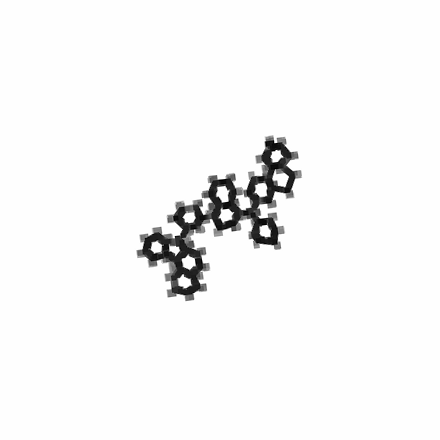 c1ccc(N(c2ccc3c(c2)CCc2ccncc2-3)c2ccc(-c3cccc(-n4c5ccccc5c5c6ccccc6ccc54)c3)c3ccccc23)cc1